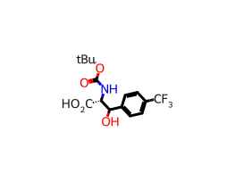 CC(C)(C)OC(=O)N[C@@H](C(=O)O)C(O)c1ccc(C(F)(F)F)cc1